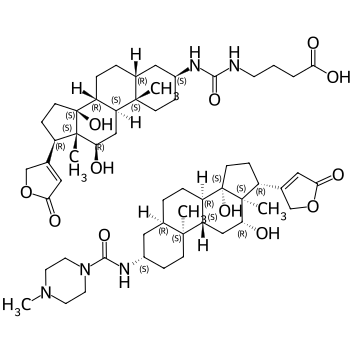 CN1CCN(C(=O)N[C@H]2CC[C@@]3(C)[C@H](CC[C@@H]4[C@@H]3C[C@@H](O)[C@]3(C)[C@@H](C5=CC(=O)OC5)CC[C@]43O)C2)CC1.C[C@]12CC[C@H](NC(=O)NCCCC(=O)O)C[C@H]1CC[C@@H]1[C@@H]2C[C@@H](O)[C@]2(C)[C@@H](C3=CC(=O)OC3)CC[C@]12O